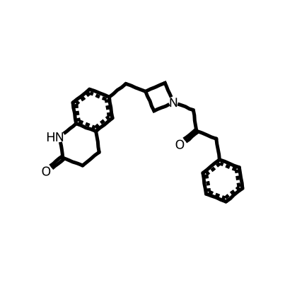 O=C(Cc1ccccc1)CN1CC(Cc2ccc3c(c2)CCC(=O)N3)C1